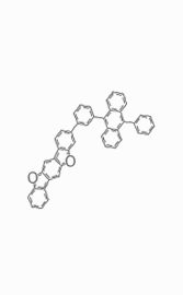 c1ccc(-c2c3ccccc3c(-c3cccc(-c4ccc5c(c4)oc4cc6c(cc45)oc4ccccc46)c3)c3ccccc23)cc1